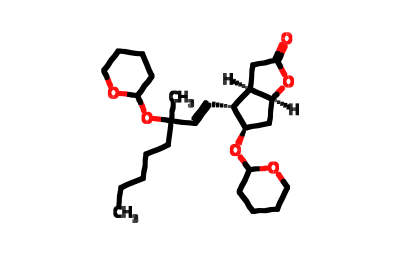 CCCCCC(C)(/C=C/[C@@H]1[C@H]2CC(=O)O[C@H]2C[C@H]1OC1CCCCO1)OC1CCCCO1